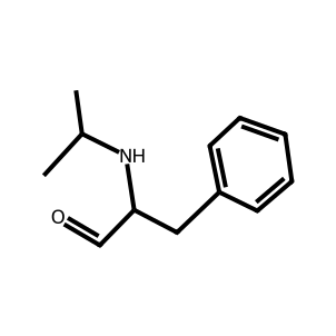 CC(C)NC(C=O)Cc1ccccc1